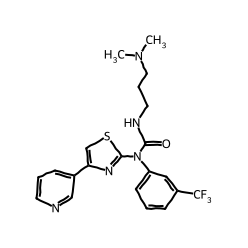 CN(C)CCCNC(=O)N(c1cccc(C(F)(F)F)c1)c1nc(-c2cccnc2)cs1